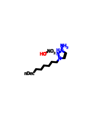 CCCCCCCCCCCCCCCCN1C=CN(N)N1.O=[N+]([O-])O